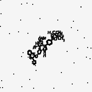 COC(=O)N[C@H](C(=O)N1C[C@@H](Oc2nc3ccccc3nc2-c2cccs2)C[C@H]1c1nc(-c2ccc(B3OC(C)(C)C(C)(C)O3)cc2)c[nH]1)C(C)C